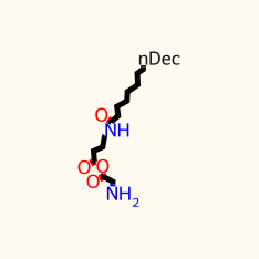 CCCCCCCCCCCCCCCCCC(=O)NCCCC(=O)OC(=O)CN